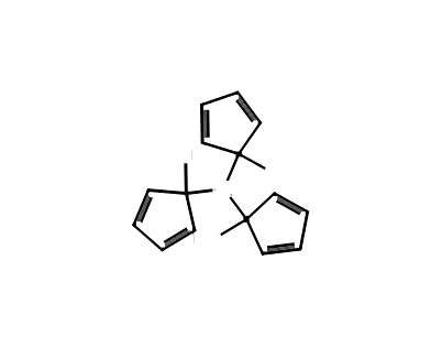 C[C]1([Gd]([C]2(C)C=CC=C2)[C]2(C)C=CC=C2)C=CC=C1